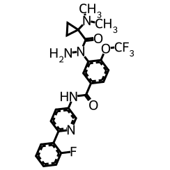 CN(C)C1(C(=O)N(N)c2cc(C(=O)Nc3ccc(-c4ccccc4F)nc3)ccc2OC(F)(F)F)CC1